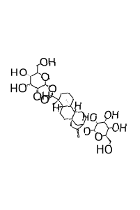 C=C1C[C@@]23CC[C@H]4[C@@](C)(CCC[C@@]4(C)C(=O)O[C@@H]4OC(CO)[C@@H](O)C(O)[C@@H]4O)[C@@H]2CC[C@]1(OC1O[C@H](CO)C(O)C(O)[C@H]1O)C3